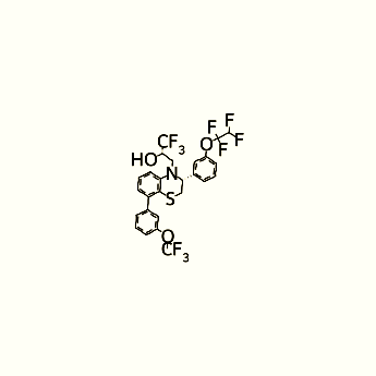 O[C@@H](CN1c2cccc(-c3cccc(OC(F)(F)F)c3)c2SC[C@H]1c1cccc(OC(F)(F)C(F)F)c1)C(F)(F)F